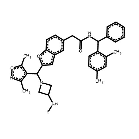 Cc1ccc(C(NC(=O)Cc2ccc3oc(C(c4c(C)noc4C)N4CC(NI)C4)cc3c2)c2ccccc2)c(C)c1